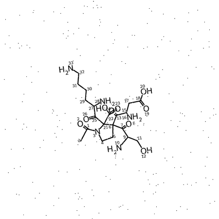 CC(=O)N1CCC(C(=O)C(N)CO)(C(=O)C(N)CC(=O)O)C1(C(=O)O)C(=O)C(N)CCCCN